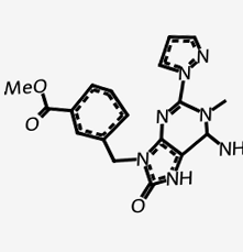 COC(=O)c1cccc(Cn2c3c([nH]c2=O)C(N)N(C)C(n2cccn2)=N3)c1